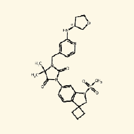 CC1(C)C(=O)N(c2ccc3c(c2)N(S(C)(=O)=O)CC32CCC2)C(=O)N1Cc1ccnc(N[C@H]2CCOC2)c1